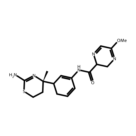 COC1=NCC(C(=O)NC2=CC([C@]3(C)CCSC(N)=N3)CC=C2)N=C1